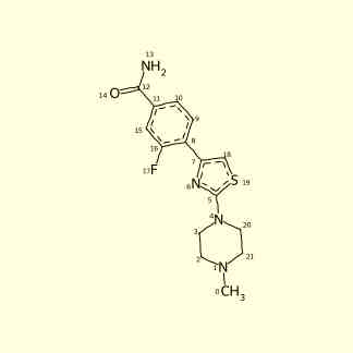 CN1CCN(c2nc(-c3ccc(C(N)=O)cc3F)cs2)CC1